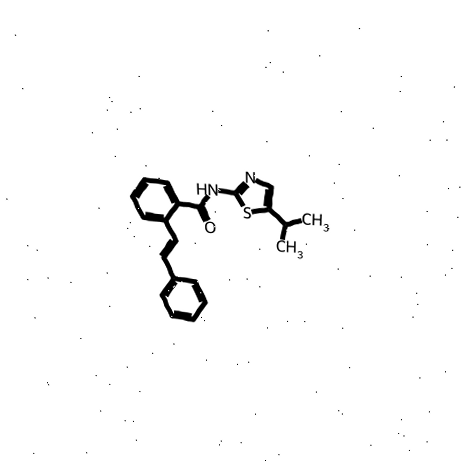 CC(C)c1cnc(NC(=O)c2ccccc2C=Cc2ccccc2)s1